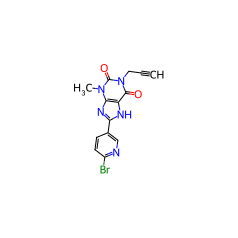 C#CCn1c(=O)c2[nH]c(-c3ccc(Br)nc3)nc2n(C)c1=O